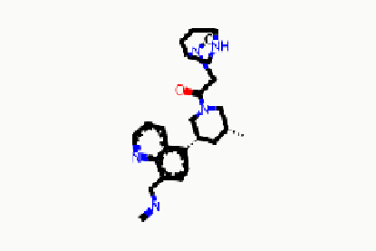 C=NCc1ccc([C@H]2C[C@@H](C)CN(C(=O)CN3CC4CCC3CN4)C2)c2cccnc12